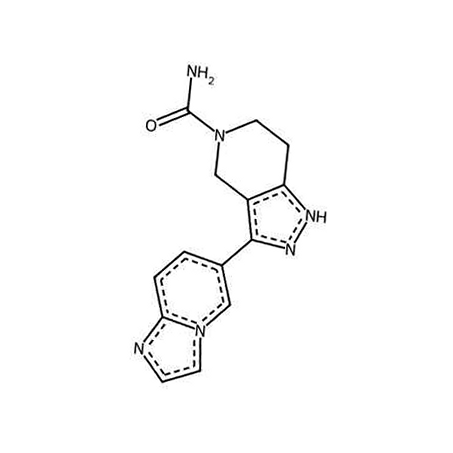 NC(=O)N1CCc2[nH]nc(-c3ccc4nccn4c3)c2C1